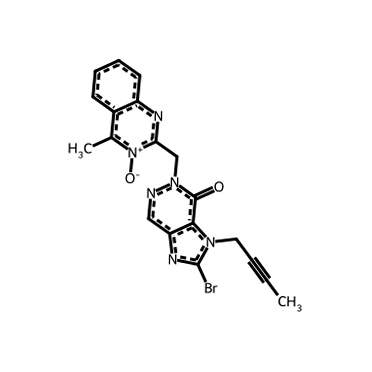 CC#CCn1c(Br)nc2cnn(Cc3nc4ccccc4c(C)[n+]3[O-])c(=O)c21